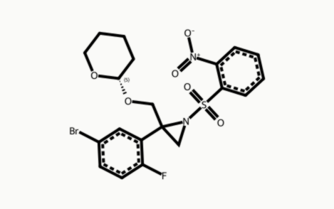 O=[N+]([O-])c1ccccc1S(=O)(=O)N1CC1(CO[C@H]1CCCCO1)c1cc(Br)ccc1F